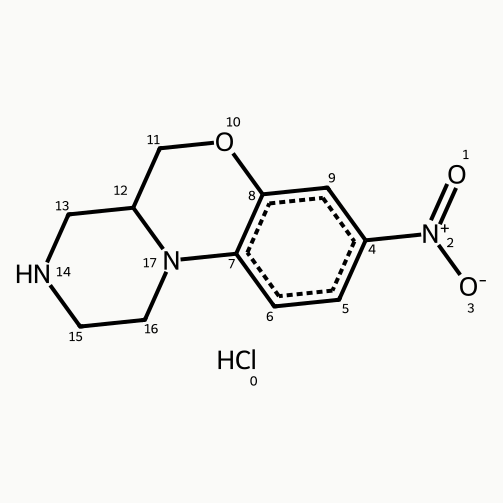 Cl.O=[N+]([O-])c1ccc2c(c1)OCC1CNCCN21